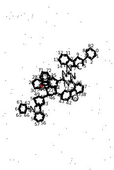 c1ccc(-c2ccc3c(c2)c2ccccc2n3-c2nc(-c3ccc4c(c3)oc3ccccc34)nc(-c3cccc4oc5ccc(-c6cc(-c7ccc8c(c7)c7ccccc7n8-c7ccccc7)c7sc8ccccc8c7c6)cc5c34)n2)cc1